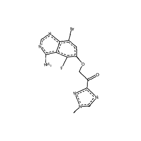 Cn1cnc(C(=O)COc2cc(Br)c3ncnc(N)c3c2F)n1